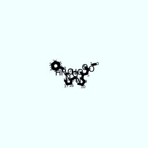 CCOC(=O)CC(O)C1CCCN1C(=O)C1CCCN1C(=O)NCc1ccccc1